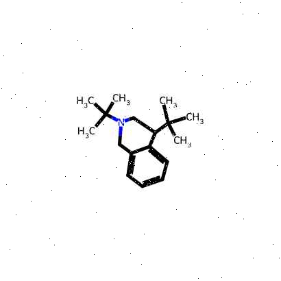 CC(C)(C)C1CN(C(C)(C)C)Cc2ccccc21